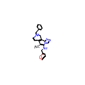 N#Cc1c2c(c3nncn3c1NCc1ccco1)CN(Cc1ccccc1)CC2